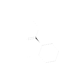 COC(=O)[C@H]1CCCC[C@@H]1O